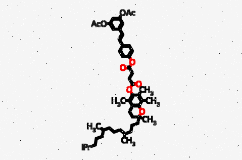 CC(=O)Oc1cc(/C=C/c2ccc(OC(=O)CCC(=O)Oc3c(C)c(C)c4c(c3C)CCC(C)(CCCC(C)CCCC(C)CCCC(C)C)O4)cc2)cc(OC(C)=O)c1